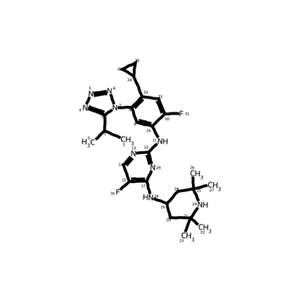 CC(C)c1nnnn1-c1cc(Nc2ncc(F)c(NC3CC(C)(C)NC(C)(C)C3)n2)c(F)cc1C1CC1